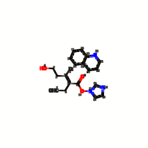 CC/C(CCO)=C(/CC=O)C(=O)On1ccnc1.c1ccc2ncccc2c1